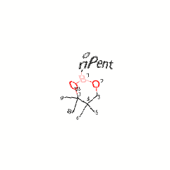 CCCCCB1OCC(C)(C)C(C)(C)O1